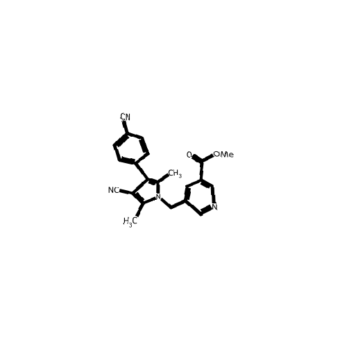 COC(=O)c1cncc(Cn2c(C)c(C#N)c(-c3ccc(C#N)cc3)c2C)c1